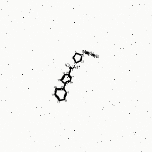 [N-]=[N+]=N[C@H]1CC[C@@H](NC(=O)c2ccc(-c3ccccc3)cc2)C1